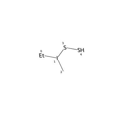 CCI(C)SS